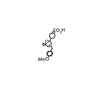 COc1ccc(CN2CC(C3CCN(C(=O)O)CC3)OC3(CC3)C2)cc1